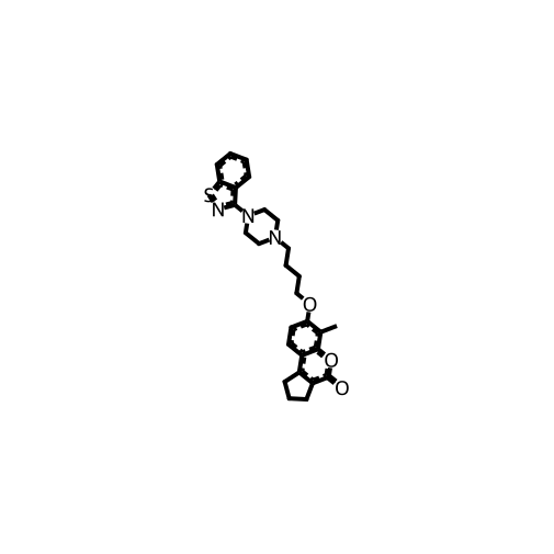 Cc1c(OCCCCN2CCN(c3nsc4ccccc34)CC2)ccc2c3c(c(=O)oc12)CCC3